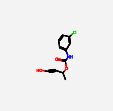 CC(C#CO)OC(=O)Nc1cccc(Cl)c1